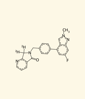 [2H]C1([2H])c2ncccc2C(=O)N1Cc1ccc(-c2cc(F)cc3nn(C)cc23)cc1